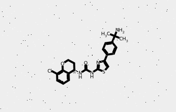 CC(C)(N)c1ccc(-c2csc(NC(=O)N[C@H]3CCOc4c(Cl)cccc43)n2)cc1